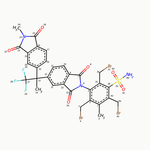 Cc1c(CBr)c(N2C(=O)c3ccc(C(C)(c4ccc5c(c4)C(=O)N(C)C5=O)C(F)(F)F)cc3C2=O)c(CBr)c(S(N)(=O)=O)c1CBr